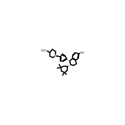 CC1(C)CC([C@H]2CCc3cc(O)ccc3[C@H]2c2ccc(N3CCC(C=O)CC3)cc2)CC(C)(C)C1